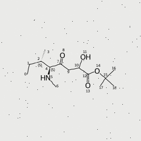 CC[C@H](C)[C@H](NC)C(=O)CC(O)C(=O)OC(C)(C)C